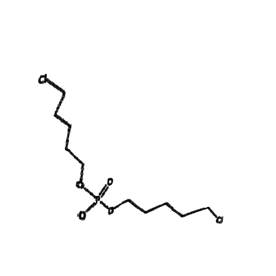 [O]P(=O)(OCCCCCCl)OCCCCCCl